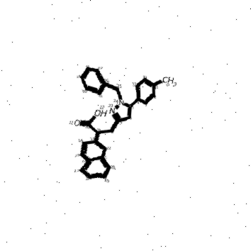 Cc1ccc(-c2cc(CC(C(=O)O)c3ccc4ccccc4c3)nn2Cc2ccccc2)cc1